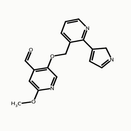 COc1cc(C=O)c(OCc2cccnc2C2=CC=NC2)cn1